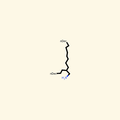 CCCCCCCCCCCCCCCCCC(CN)CCCCCCCCCCCC